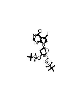 CC(C)(C)[Si](C)(C)OC[C@H]1O[C@@H](n2cc(I)c3c(Cl)ncnc32)CC1O[Si](C)(C)C(C)(C)C